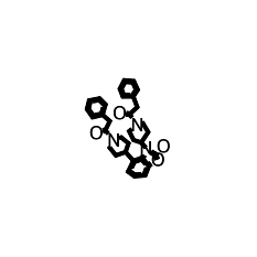 O=C(Cc1ccccc1)N1CCC(c2cccc3oc(=O)n(C4CCN(C(=O)Cc5ccccc5)CC4)c23)CC1